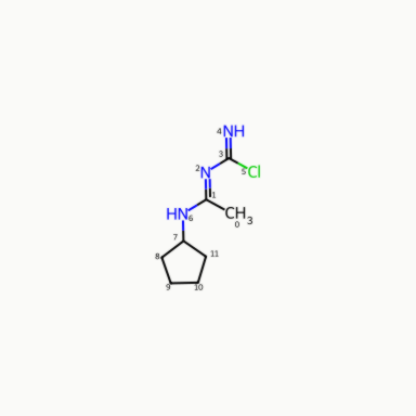 C/C(=N\C(=N)Cl)NC1CCCC1